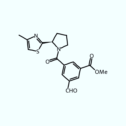 COC(=O)c1cc(C=O)cc(C(=O)N2CCC[C@@H]2c2nc(C)cs2)c1